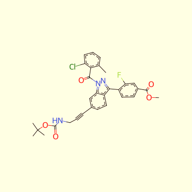 COC(=O)c1ccc(-c2nn(C(=O)c3c(C)cccc3Cl)c3cc(C#CCNC(=O)OC(C)(C)C)ccc23)c(F)c1